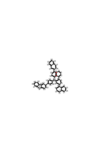 c1ccc(-c2ccc(-c3cccc4ccccc34)cc2N(c2ccc(-c3ccc4ccccc4c3)cc2)c2ccc(-c3ccc4sc5ccccc5c4c3)cc2)cc1